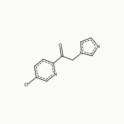 O=C(Cn1ccnc1)c1ccc(Cl)cn1